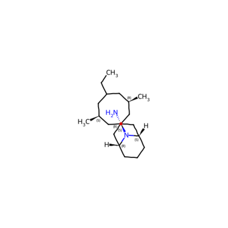 CCC1C[C@@H](C)C[C@@H](N2[C@@H]3CCC[C@H]2C[C@@H](N)C3)C[C@@H](C)C1